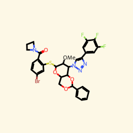 COC1C(Sc2cc(Br)ccc2C(=O)N2CCC2)OC2COC(c3ccccc3)OC2C1n1cc(-c2cc(F)c(F)c(F)c2)nn1